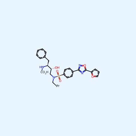 CC(C)CN(C[C@@H](O)[C@H](Cc1ccccc1)NC(=O)O)S(=O)(=O)c1ccc(-c2noc(-c3ccco3)n2)cc1